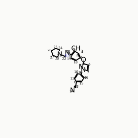 Cc1cc(Oc2ccn(-c3ccc(C#N)cc3)n2)ccc1/N=C/N1CCCCC1